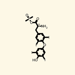 CP(C)(=O)OC(=O)[C@@H](N)Cc1cc(I)c(Oc2cc(I)c(O)c(I)c2)c(I)c1